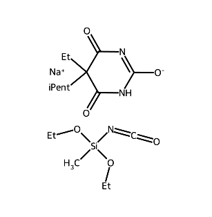 CCCC(C)C1(CC)C(=O)N=C([O-])NC1=O.CCO[Si](C)(N=C=O)OCC.[Na+]